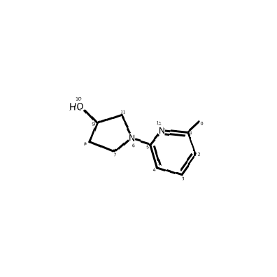 Cc1[c]ccc(N2CCC(O)C2)n1